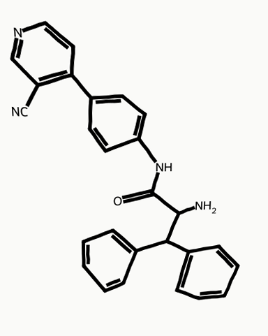 N#Cc1cnccc1-c1ccc(NC(=O)C(N)C(c2ccccc2)c2ccccc2)cc1